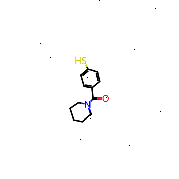 O=C(c1ccc(S)cc1)N1CCCCC1